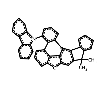 CC1(C)c2ccccc2-c2cc3c(cc21)oc1cccc(-c2c(C#N)cccc2-n2c4ccccc4c4ccccc42)c13